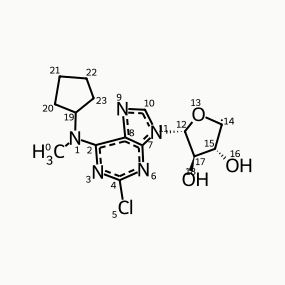 CN(c1nc(Cl)nc2c1ncn2[C@@H]1O[CH][C@H](O)[C@H]1O)C1CCCC1